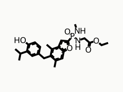 CCOC(=O)CNP(=O)(NC)c1cc2c(C)c(Cc3ccc(O)c(C(C)C)c3)c(C)cc2o1